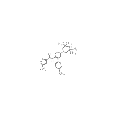 Cc1cc(C(=O)NC2=C(C3=CCC(C)CC3)C=C(C3CC(C)(C)NC(C)(C)C3)CC2)no1